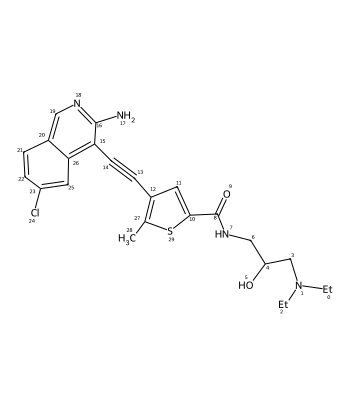 CCN(CC)CC(O)CNC(=O)c1cc(C#Cc2c(N)ncc3ccc(Cl)cc23)c(C)s1